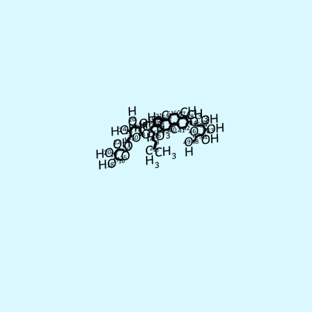 CC(C)=CCCC(C)(OC1OC(COC2OCC(O)C(O)C2O)C(O)C(O)C1O)C1CCC2(C)C1C(O)CC1C3(C)CCC(OC4OC(CO)C(O)C(O)C4O)C(C)(C)C3CCC12C